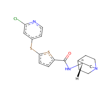 O=C(N[C@H]1CN2CCC1CC2)c1ccc(Sc2ccnc(Cl)c2)s1